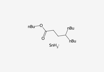 CCCCOC(=O)CCC(CCCC)CCCC.[SnH2]